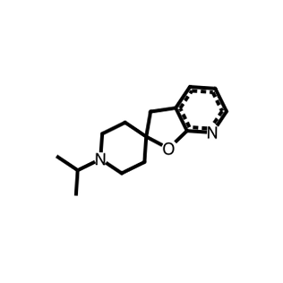 CC(C)N1CCC2(CC1)Cc1cccnc1O2